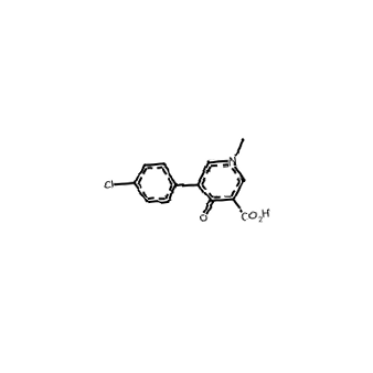 Cn1cc(C(=O)O)c(=O)c(-c2ccc(Cl)cc2)c1